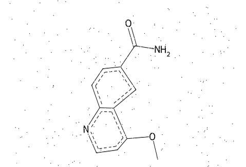 COc1ccnc2ccc(C(N)=O)cc12